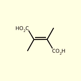 CC(C(=O)O)=C(C)C(=O)O